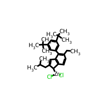 CCc1ccc2c(c1-c1cc(C(C)(C)C)cc(C(C)(C)C)c1)C=C(CC(C)C)[CH]2[Zr]([Cl])[Cl]